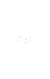 COc1ccc2c(c1)CC[C@@H]1[C@@H]2CC[C@]2(/C=C/Cl)[C@@H](O)CC[C@@H]12